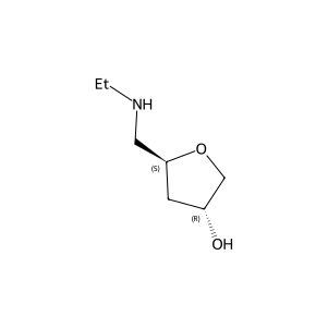 CCNC[C@@H]1C[C@@H](O)CO1